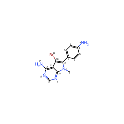 Cn1c(-c2ccc(N)cc2)c(Br)c2c(N)ncnc21